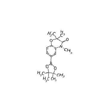 CN1C(=O)C(C)(C)Oc2ccc(B3OC(C)(C)C(C)(C)O3)cc21